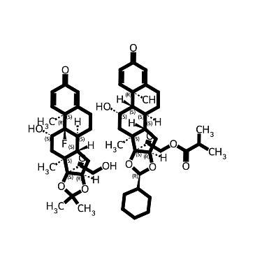 CC(C)C(=O)OCC(=O)[C@@]12O[C@H](C3CCCCC3)O[C@@H]1C[C@H]1[C@@H]3CCC4=CC(=O)C=C[C@]4(C)[C@H]3[C@@H](O)C[C@@]12C.CC1(C)O[C@@H]2C[C@H]3[C@@H]4CCC5=CC(=O)C=C[C@]5(C)[C@@]4(F)[C@@H](O)C[C@]3(C)[C@]2(C(=O)CO)O1